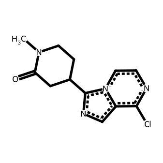 CN1CCC(c2ncc3c(Cl)nccn23)CC1=O